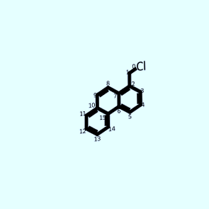 ClCc1cccc2c1ccc1ccccc12